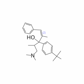 C/C(=C/c1ccccc1)C(O)(c1ccc(C(C)(C)C)cc1)C(C)CN(C)C